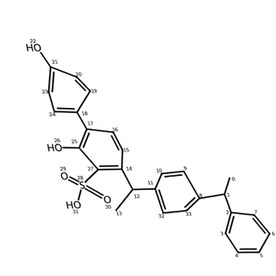 CC(c1ccccc1)c1ccc(C(C)c2ccc(-c3ccc(O)cc3)c(O)c2S(=O)(=O)O)cc1